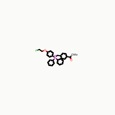 COC(=O)c1ccc(C[PH](c2ccccc2)(c2ccccc2)c2ccc(OCCF)cc2)cc1